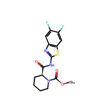 CC(C)(C)OC(=O)N1CCCC[C@H]1C(=O)Nc1nc2cc(F)c(F)cc2s1